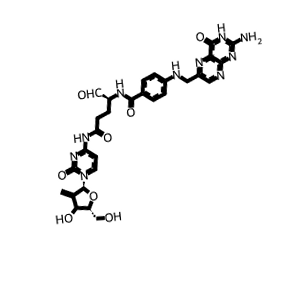 C=C1C(O)[C@@H](CO)O[C@H]1n1ccc(NC(=O)CC[C@@H](C=O)NC(=O)c2ccc(NCc3cnc4nc(N)[nH]c(=O)c4n3)cc2)nc1=O